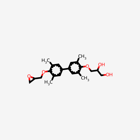 Cc1cc(-c2cc(C)c(OCC3CO3)c(C)c2)cc(C)c1OCC(O)CO